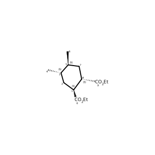 CCOC(=O)[C@H]1C[C@H](C)[C@@H](C)C[C@@H]1C(=O)OCC